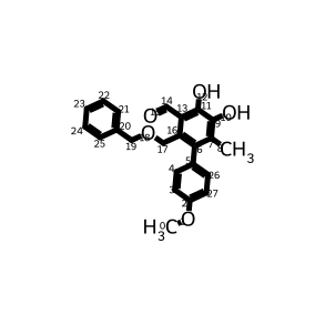 COc1ccc(-c2c(C)c(O)c(O)c(C=O)c2COCc2ccccc2)cc1